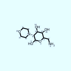 NCC1OC(O)[C@H](N2CCOCC2)[C@@H](O)[C@H]1O